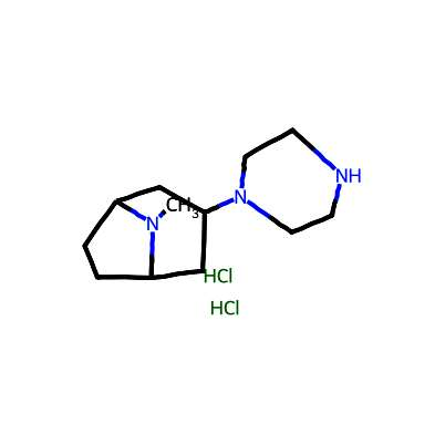 CN1C2CCC1CC(N1CCNCC1)C2.Cl.Cl